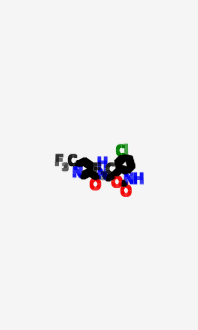 O=C1Nc2ccc(Cl)cc2C(CNC(=O)c2ccc(C(F)(F)F)nc2)(C(F)(F)F)O1